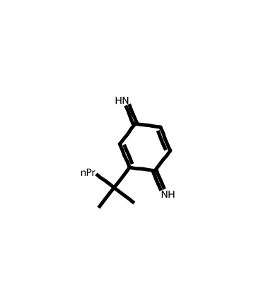 CCCC(C)(C)C1=CC(=N)C=CC1=N